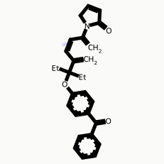 C=C(/C=C\C(=C)C(CC)(CC)Oc1ccc(C(=O)c2ccccc2)cc1)N1CC=CC1=O